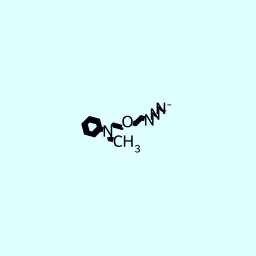 CCN(CCOCCN=[N+]=[N-])c1ccccc1